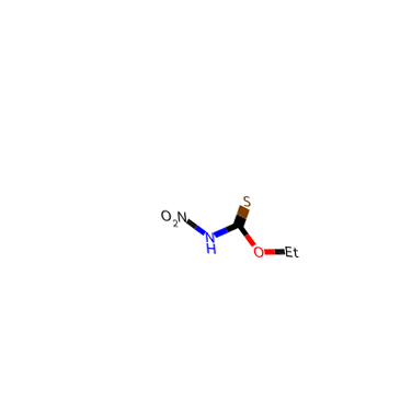 CCOC(=S)N[N+](=O)[O-]